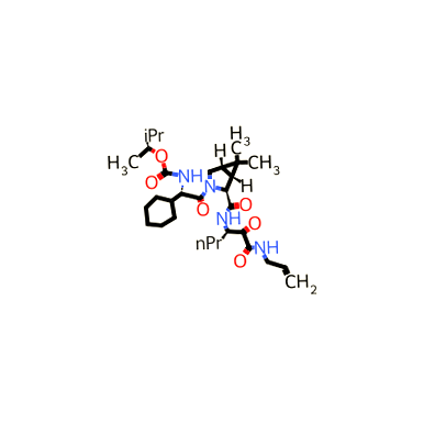 C=CCNC(=O)C(=O)[C@@H](CCC)NC(=O)[C@@H]1[C@@H]2[C@H](CN1C(=O)[C@@H](NC(=O)O[C@H](C)C(C)C)C1CCCCC1)C2(C)C